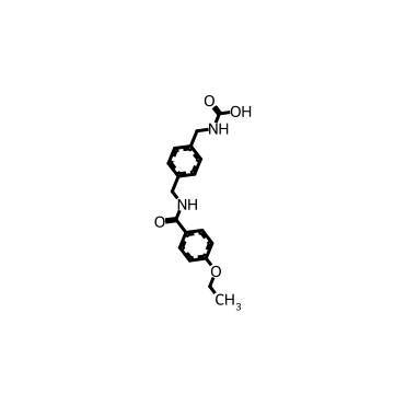 CCOc1ccc(C(=O)NCc2ccc(CNC(=O)O)cc2)cc1